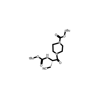 CCCCOC(=O)N1CCN(C(=O)[C@H](CC#N)NC(=O)OC(C)(C)C)CC1